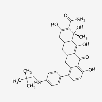 CC(C)(C)CNc1ccc(-c2ccc(O)c3c2CC2CC4CC(O)=C(C(N)=O)[C@](C)(O)C4C(O)=C2C3=O)cc1